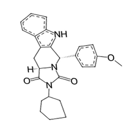 COc1ccc([C@H]2c3[nH]c4ccccc4c3C[C@@H]3C(=O)N(C4CCCCC4)C(=O)N23)cc1